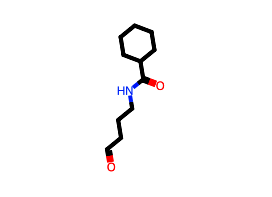 O=CCCCNC(=O)C1CCCCC1